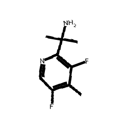 Cc1c(F)cnc(C(C)(C)N)c1F